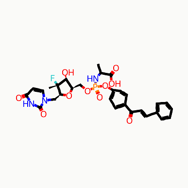 CC(NP(=O)(OC[C@H]1O[C@@H](Cn2ccc(=O)[nH]c2=O)[C@](C)(F)[C@@H]1O)Oc1ccc(C(=O)/C=C/c2ccccc2)cc1)C(=O)O